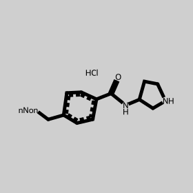 CCCCCCCCCCc1ccc(C(=O)NC2CCNC2)cc1.Cl